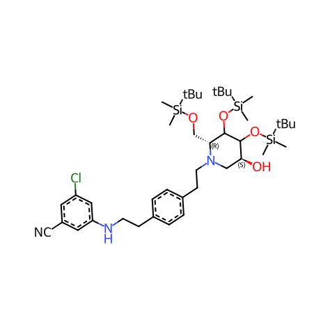 CC(C)(C)[Si](C)(C)OC[C@@H]1C(O[Si](C)(C)C(C)(C)C)C(O[Si](C)(C)C(C)(C)C)[C@@H](O)CN1CCc1ccc(CCNc2cc(Cl)cc(C#N)c2)cc1